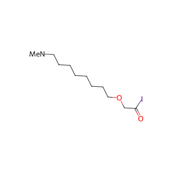 CNCCCCCCCCOCC(=O)I